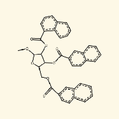 COC1OC(COC(=O)c2ccc3ccccc3c2)C(OC(=O)c2ccc3ccccc3c2)C1OC(=O)c1cccc2ccccc12